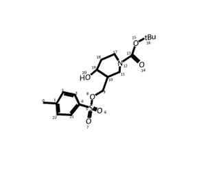 Cc1ccc(S(=O)(=O)OCC2CN(C(=O)OC(C)(C)C)CCC2O)cc1